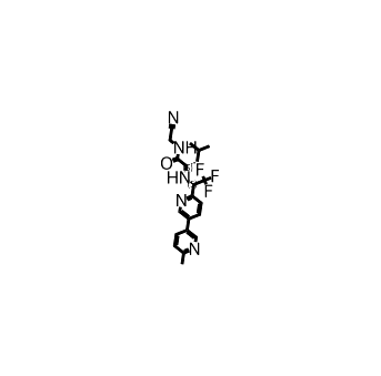 Cc1ccc(-c2ccc([C@H](N[C@@H](CC(C)C)C(=O)NCC#N)C(F)(F)F)nc2)cn1